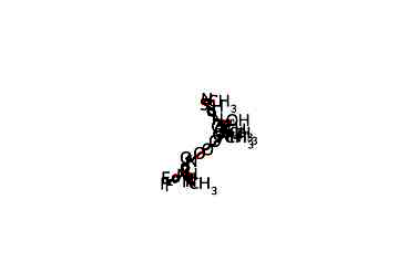 Cc1ncsc1-c1ccc(CNC(=O)[C@@H]2C[C@@H](O)CN2C(=O)[C@@H](NC(=O)COCCOCCOCCNC(=O)c2ccc3c(c2)c2cn(C)nc2n3-c2ccc(C(F)(F)F)cc2)C(C)(C)C)cc1